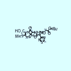 CSC1=C(C(=O)O)N2C(=O)C(NC(=O)C(=NOCC(=O)OC(C)(C)C)c3ncsn3)[C@@H]2SC1